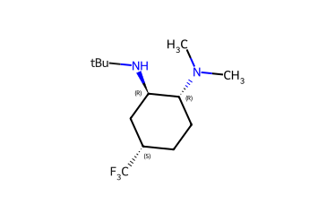 CN(C)[C@@H]1CC[C@H](C(F)(F)F)C[C@H]1NC(C)(C)C